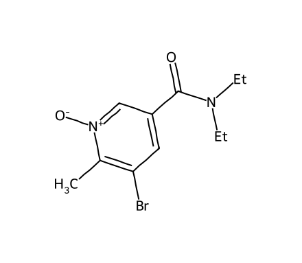 CCN(CC)C(=O)c1cc(Br)c(C)[n+]([O-])c1